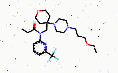 CCOCCCN1CCN(C2(CN(C(=O)CC)c3cccc(C(F)(F)F)n3)CCOCC2)CC1